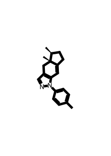 Cc1ccc(-n2ncc3c2C=C2CC[C@H](C)[C@@]2(C)C3)cc1